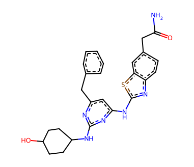 NC(=O)Cc1ccc2nc(Nc3cc(Cc4ccccc4)nc(NC4CCC(O)CC4)n3)sc2c1